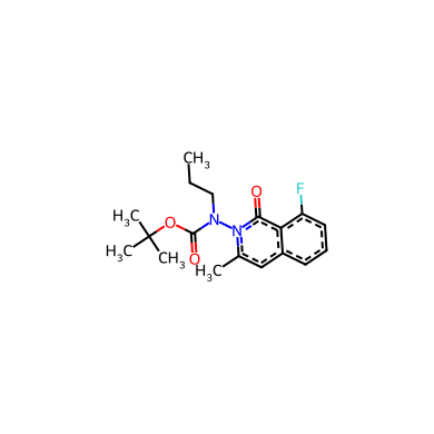 CCCN(C(=O)OC(C)(C)C)n1c(C)cc2cccc(F)c2c1=O